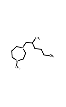 CCCCC(C)CN1CCCN(C)CC1